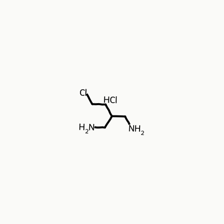 Cl.NCC(CN)CCCl